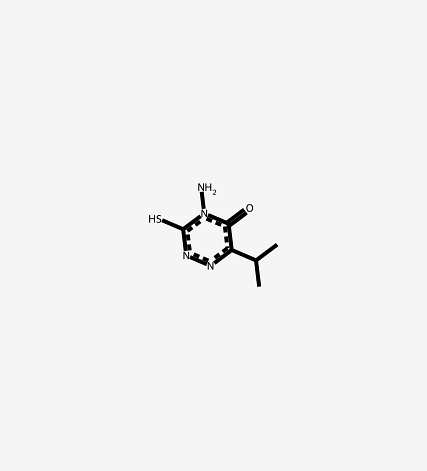 CC(C)c1nnc(S)n(N)c1=O